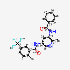 Cc1ccc(C(F)(F)F)cc1C(=O)Nc1cnc(C)c(NC(=O)c2ccccc2)c1